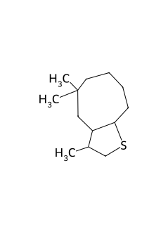 CC1CSC2CCCCC(C)(C)CC12